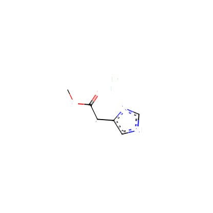 COC(=O)Cc1c[nH]cn1.Cl.Cl